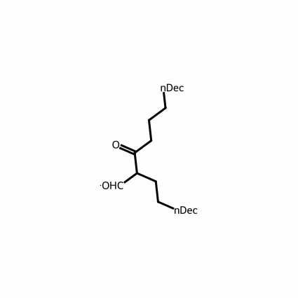 CCCCCCCCCCCCCC(=O)C([C]=O)CCCCCCCCCCCC